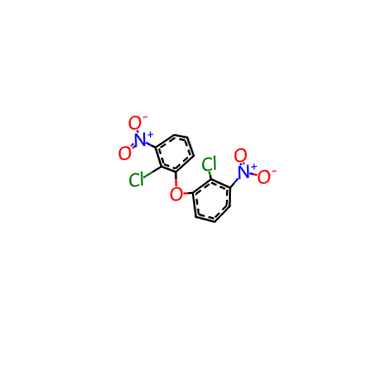 O=[N+]([O-])c1cccc(Oc2cccc([N+](=O)[O-])c2Cl)c1Cl